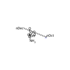 CCCCCCCC/C=C\CCCCCCCC(=O)O[C@H](COC(=O)CCCCCCCCCCCCCC)COP(=O)(O)OCCN